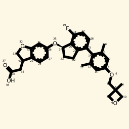 Cc1cc(OCC2(C)COC2)cc(C)c1-c1ccc(F)c2c1CC[C@H]2Oc1ccc2c(c1)OCC2CC(=O)O